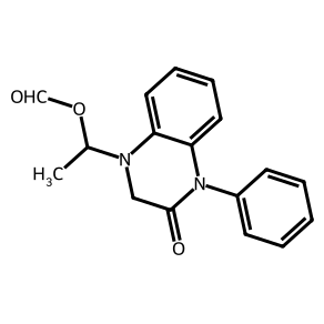 CC(OC=O)N1CC(=O)N(c2ccccc2)c2ccccc21